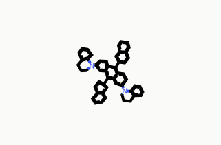 c1ccc2c(c1)CCCN2c1ccc2c(-c3ccc4ccccc4c3)c3ccc(N4CCCc5ccccc54)cc3c(-c3ccc4ccccc4c3)c2c1